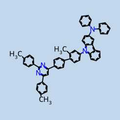 Cc1ccc(-c2cc(-c3ccc(-c4ccc(-n5c6ccccc6c6cc(N(c7ccccc7)c7ccccc7)ccc65)cc4C)cc3)nc(-c3ccc(C)cc3)n2)cc1